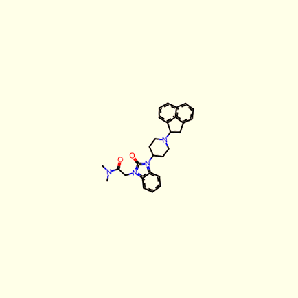 CN(C)C(=O)Cn1c(=O)n(C2CCN(C3Cc4cccc5cccc3c45)CC2)c2ccccc21